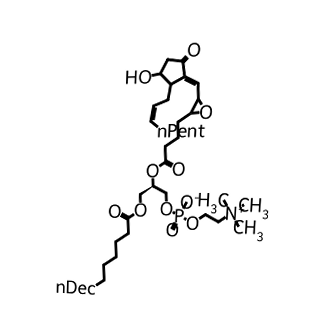 CCCCC/C=C\CC1/C(=C\C2OC2CCCC(=O)O[C@H](COC(=O)CCCCCCCCCCCCCCC)COP(=O)([O-])OCC[N+](C)(C)C)C(=O)CC1O